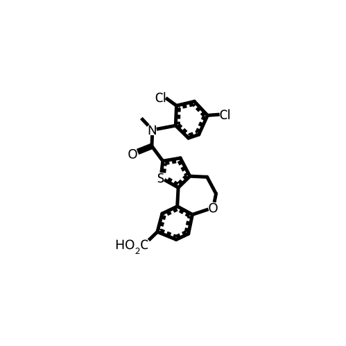 CN(C(=O)c1cc2c(s1)-c1cc(C(=O)O)ccc1OCC2)c1ccc(Cl)cc1Cl